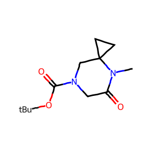 CN1C(=O)CN(C(=O)OC(C)(C)C)CC12CC2